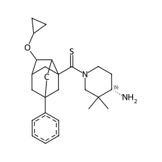 CC1(C)CN(C(=S)C23CC4CC(c5ccccc5)(CC2C4OC2CC2)C3)CC[C@@H]1N